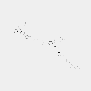 c1ccc2c(NC3CCNCC3)nc(NCc3cn(CCCNCCNC4CCCC(c5ccc6c(NC7CCNCC7)nc(NCc7cn(CCCNCCCNC8CCCCC8)nn7)nc6c5)C4)nn3)nc2c1